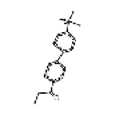 CCC(=O)c1ccc(-c2ccc([Si](C)(C)C)cc2)cc1